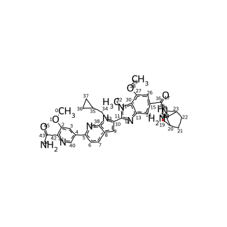 COc1cc(-c2ccc3cc(-c4nc5cc(C(=O)N6CC7CCC6[C@@H]7N)cc(OC)c5n4C)n(CC4CC4)c3n2)cnc1C(N)=O